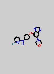 Fc1cccc(N[C@H]2CC[C@@H](Oc3cc(N4CCOCC4)cc4nccnc34)CC2)n1